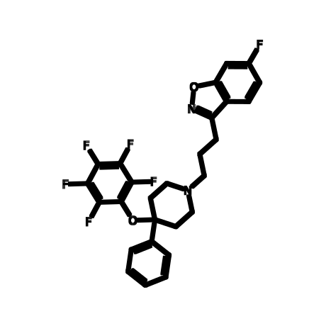 Fc1ccc2c(CCCN3CCC(Oc4c(F)c(F)c(F)c(F)c4F)(c4ccccc4)CC3)noc2c1